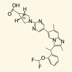 Cc1cc2nc(C)c(C(C)c3ccccc3OC(F)F)n2cc1-c1cnc(N2C[C@@H]3C(C(=O)O)[C@@H]3C2)nc1